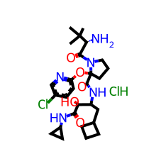 CC(C)(C)[C@H](N)C(=O)N1CCCC1(Oc1ccc(Cl)cn1)C(=O)NC(CC1CCC1)C(O)C(=O)NC1CC1.Cl